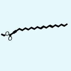 CCCCCC=CCC=CCCCCCCCC#CC(=O)OCC